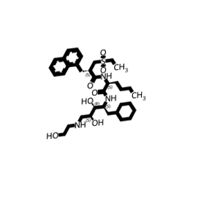 CCCC[C@H](NC(=O)[C@H](Cc1cccc2ccccc12)CS(=O)(=O)CC)C(=O)N[C@@H](CC1CCCCC1)[C@@H](O)[C@@H](O)CNCCO